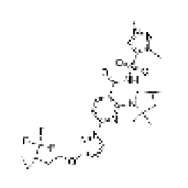 Cc1nn(C)cc1S(=O)(=O)NC(=O)c1ccc(-n2ccc(OCCC3(C(F)(F)F)CC3)n2)nc1N1CC(C)(C)CC1(C)C